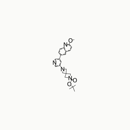 COc1ccc2cc(-c3cncc(N4CC5(CN(C(=O)OC(C)(C)C)C5)C4)c3)ccc2n1